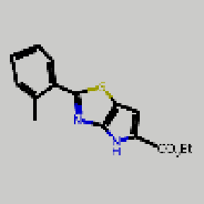 CCOC(=O)c1cc2sc(-c3ccccc3C)nc2[nH]1